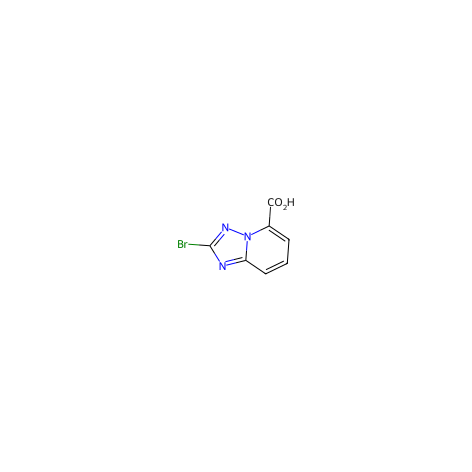 O=C(O)c1cccc2nc(Br)nn12